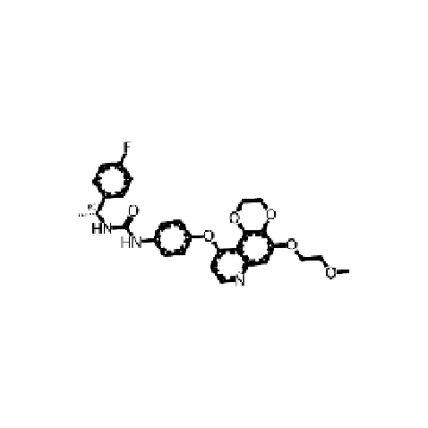 COCCOc1cc2nccc(Oc3ccc(NC(=O)N[C@H](C)c4ccc(F)cc4)cc3)c2c2c1OCCO2